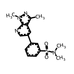 Cc1nn(C)c2ncc(-c3cccc(S(=O)(=O)N(C)C)c3)cc12